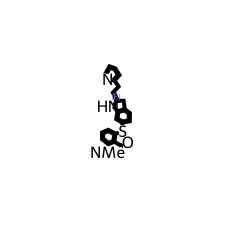 CNC(=O)c1ccccc1Sc1ccc2c(c1)N/C(=C/Cc1ccccn1)C2